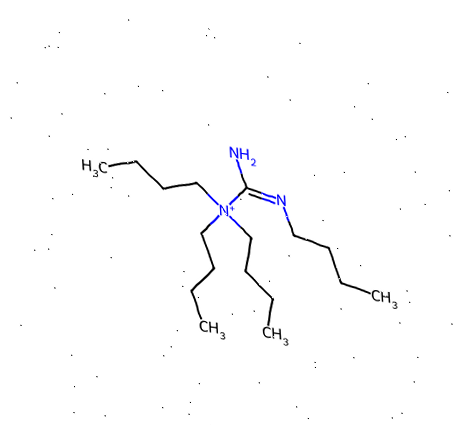 CCCCN=C(N)[N+](CCCC)(CCCC)CCCC